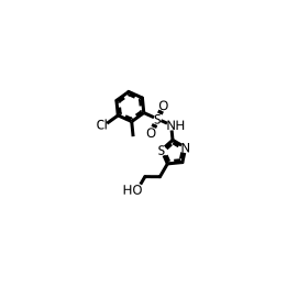 Cc1c(Cl)cccc1S(=O)(=O)Nc1ncc(CCO)s1